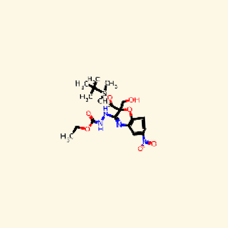 CCOC(=O)NNC1=Nc2cc([N+](=O)[O-])ccc2OC1(CO)CO[Si](C)(C)C(C)(C)C